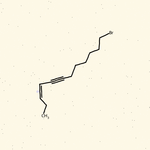 CC/C=C\C#CCCCCCCBr